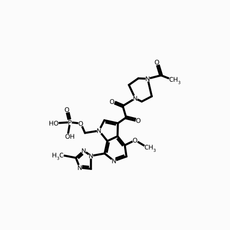 COc1cnc(-n2cnc(C)n2)c2c1c(C(=O)C(=O)N1CCN(C(C)=O)CC1)cn2COP(=O)(O)O